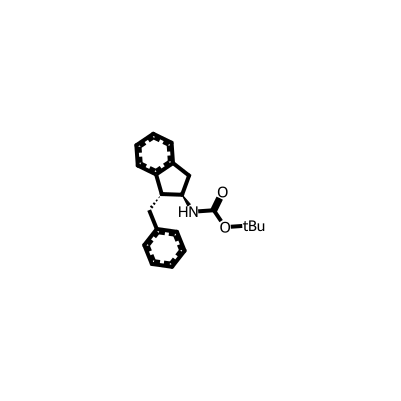 CC(C)(C)OC(=O)N[C@@H]1Cc2ccccc2[C@H]1Cc1ccccc1